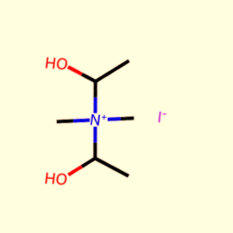 CC(O)[N+](C)(C)C(C)O.[I-]